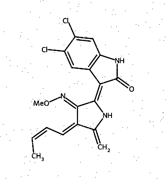 C=C1NC(=C2\C(=O)Nc3cc(Cl)c(Cl)cc32)/C(=N/OC)C/1=C\C=C/C